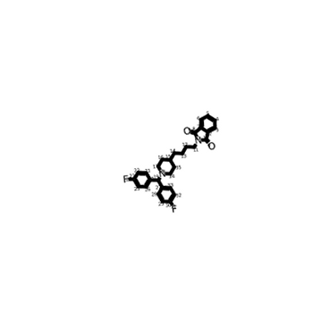 O=C1c2ccccc2C(=O)N1CCCCC1CCN(C(c2ccc(F)cc2)c2ccc(F)cc2)CC1